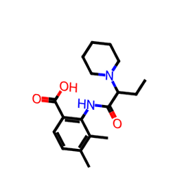 CCC(C(=O)Nc1c(C(=O)O)ccc(C)c1C)N1CCCCC1